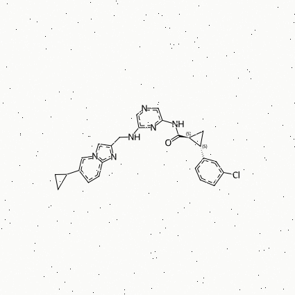 O=C(Nc1cncc(NCc2cn3cc(C4CC4)ccc3n2)n1)[C@H]1C[C@@H]1c1cccc(Cl)c1